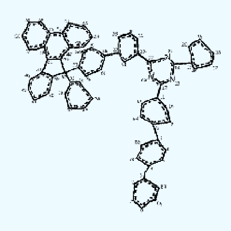 c1ccc(-c2ccc(-c3ccc(-c4nc(-c5ccccc5)nc(-c5cccc(-c6ccc(C7(c8ccccc8)c8ccccc8-c8c7c7ccccc7c7ccccc87)cc6)c5)n4)cc3)cc2)cc1